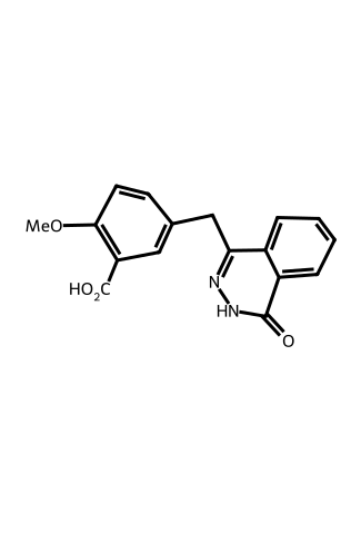 COc1ccc(Cc2n[nH]c(=O)c3ccccc23)cc1C(=O)O